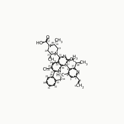 C=Cc1cc(C)c(-n2c(=O)nc(N3C[C@@H](C)N(C(=O)O)C[C@@H]3C)c3cc(Cl)c(-c4ccccc4F)nc32)c(C(C)C)n1